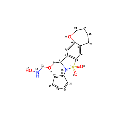 O=S1(=O)c2cc3c(cc2C(COCNO)N1c1ccccc1)OCCCC3